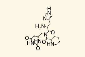 N[C@@H](Cc1c[nH]cn1)C(=O)N(Cc1cc(=O)[nH]c(=O)[nH]1)C(=O)C1CCCCN1